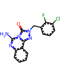 Nc1nc2ccccc2c2nn(Cc3cccc(Cl)c3F)c(=O)n12